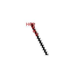 CCCCCCCCCCCCCCCCCCOCCOCCOCC(=O)O